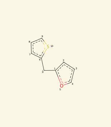 [CH](c1ccco1)c1cccs1